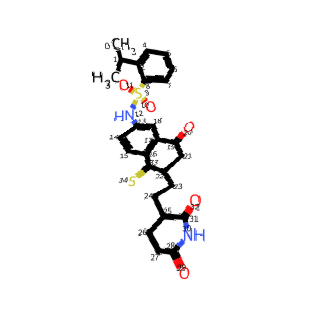 CC(C)c1ccccc1S(=O)(=O)Nc1ccc2c(c1)C(=O)CC(CCC1CCC(=O)NC1=O)C2=S